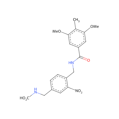 COc1cc(C(=O)NCc2ccc(CNC(=O)O)cc2[N+](=O)[O-])cc(OC)c1C